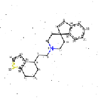 C1=CC2(CCN(CCC3CCCc4sccc43)CC2)c2ccccc21